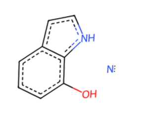 Oc1cccc2cc[nH]c12.[N]